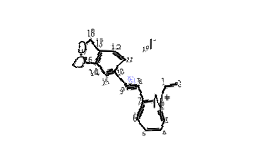 CC[n+]1ccccc1/C=C/c1ccc2c(c1)OOC2.[I-]